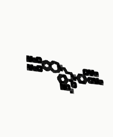 COc1ccc(N(CCCN2CCc3cc(OC)c(OC)cc3CC2)C(=O)c2ccccc2[N+](=O)[O-])cc1OC